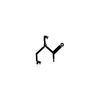 CC(C)CN(C(=O)I)C(C)C